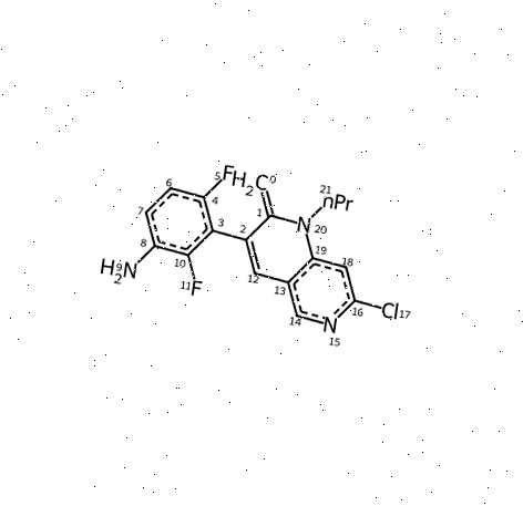 C=C1C(c2c(F)ccc(N)c2F)=Cc2cnc(Cl)cc2N1CCC